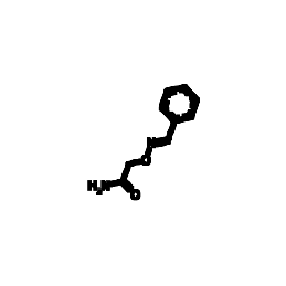 NC(=O)CO/N=C/c1ccccc1